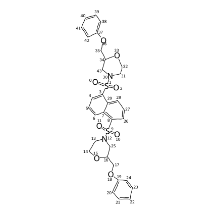 O=S(=O)(c1cccc2c(S(=O)(=O)N3CCOC(COc4ccccc4)C3)cccc12)N1CCOC(COc2ccccc2)C1